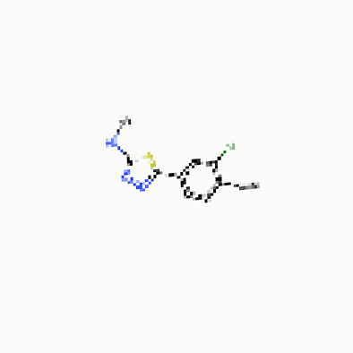 CCCNc1nnc(-c2ccc(OC)c(Cl)c2)s1